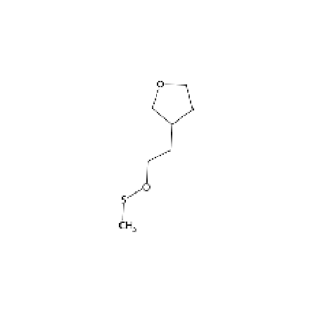 CSOCCC1CCOC1